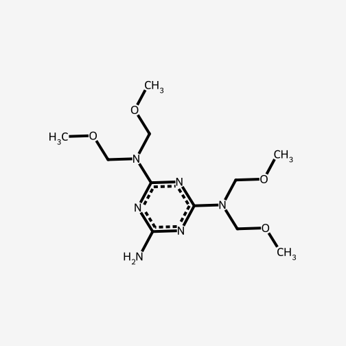 COCN(COC)c1nc(N)nc(N(COC)COC)n1